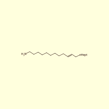 CCCCCCCCC=CCCCCCCCCCN